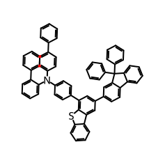 c1ccc(-c2ccc(N(c3ccc(-c4cc(-c5ccc6c(c5)C(c5ccccc5)(c5ccccc5)c5ccccc5-6)cc5c4sc4ccccc45)cc3)c3ccccc3-c3ccccc3)cc2)cc1